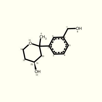 CC1(c2cccc(CO)c2)C[C@@H](O)CCO1